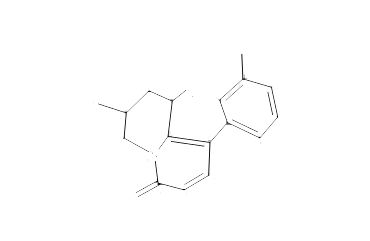 CCC1CC(CC)c2c(-c3cccc(F)c3)ccc(=O)n2C1